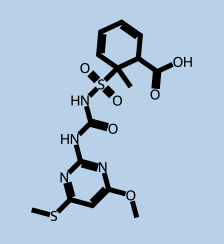 COc1cc(SC)nc(NC(=O)NS(=O)(=O)C2(C)C=CC=CC2C(=O)O)n1